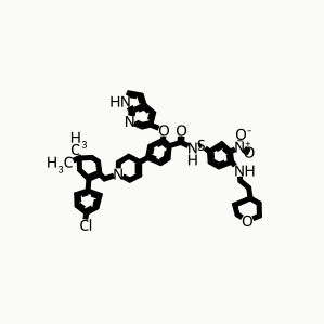 CC1(C)CCC(CN2CC=C(c3ccc(C(=O)NSc4ccc(NCCC5CCOCC5)c([N+](=O)[O-])c4)c(Oc4cnc5[nH]ccc5c4)c3)CC2)=C(c2ccc(Cl)cc2)C1